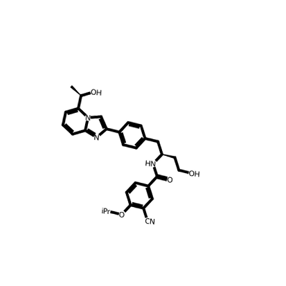 CC(C)Oc1ccc(C(=O)N[C@H](CCO)Cc2ccc(-c3cn4c([C@@H](C)O)cccc4n3)cc2)cc1C#N